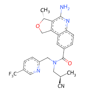 C[C@@H](C#N)CN(Cc1ccc(C(F)(F)F)cn1)C(=O)c1ccc2nc(N)c3c(c2c1)CO[C@@H]3C